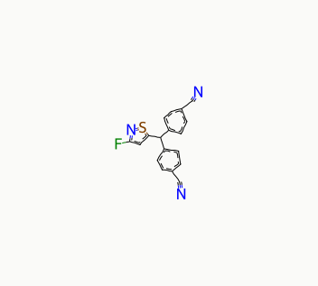 N#Cc1ccc(C(c2ccc(C#N)cc2)c2cc(F)ns2)cc1